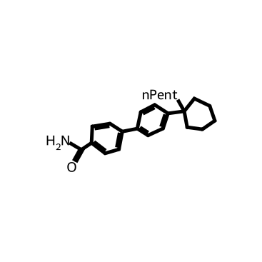 CCCCCC1(c2ccc(-c3ccc(C(N)=O)cc3)cc2)CCCCC1